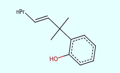 CCCC=CC(C)(C)c1ccccc1O